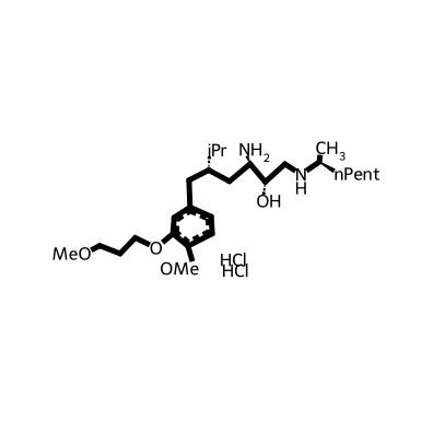 CCCCC[C@H](C)NC[C@H](O)[C@@H](N)C[C@H](Cc1ccc(OC)c(OCCCOC)c1)C(C)C.Cl.Cl